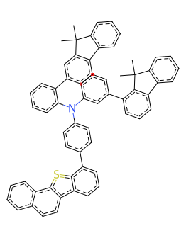 CC1(C)c2ccccc2-c2ccc(-c3ccccc3N(c3ccc(-c4cccc5c4sc4c6ccccc6ccc54)cc3)c3cccc(-c4cccc5c4C(C)(C)c4ccccc4-5)c3)cc21